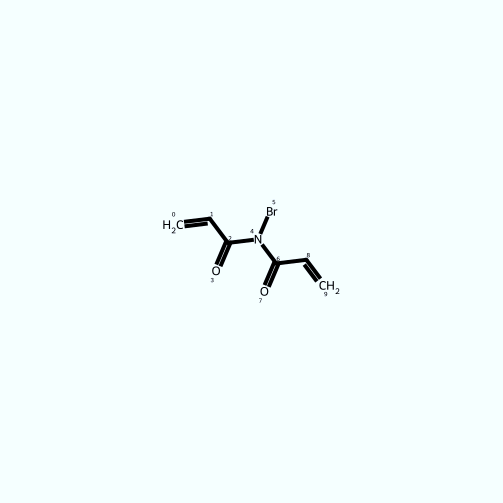 C=CC(=O)N(Br)C(=O)C=C